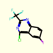 FC(F)(F)c1nc(Cl)c2cc(I)ccc2n1